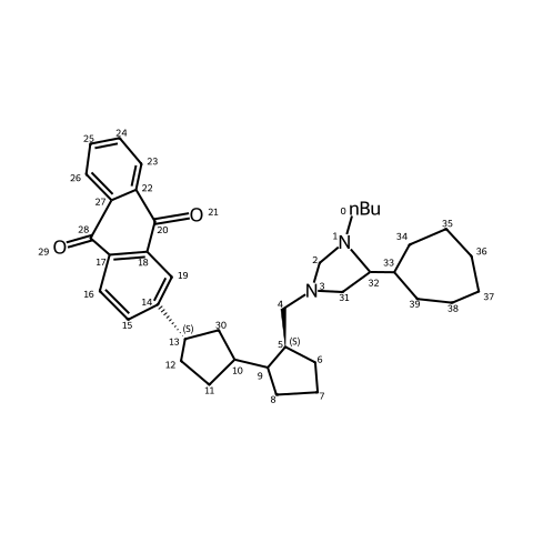 CCCCN1CN(C[C@H]2CCCC2C2CC[C@H](c3ccc4c(c3)C(=O)c3ccccc3C4=O)C2)CC1C1CCCCCC1